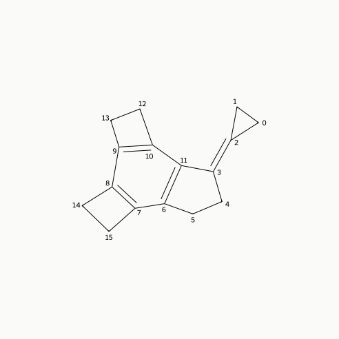 C1CC1=C1CCc2c3c(c4c(c21)CC4)CC3